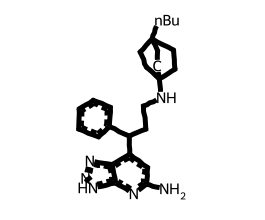 CCCCC12CCC(NCCC(c3ccccc3)c3cc(N)nc4[nH]nnc34)(CC1)CC2